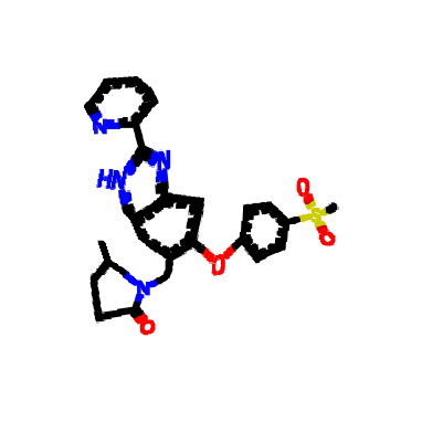 CC1CCC(=O)N1Cc1cc2[nH]c(-c3ccccn3)nc2cc1Oc1ccc(S(C)(=O)=O)cc1